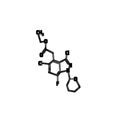 CCOC(=O)Cc1c(Cl)cc(F)c2c1c(Cl)nn2C1CCCCO1